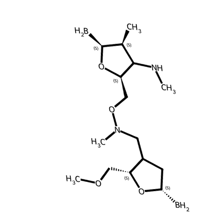 B[C@@H]1O[C@H](CON(C)CC2C[C@H](B)O[C@@H]2COC)C(NC)[C@@H]1C